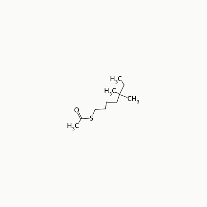 CCC(C)(C)CCCCSC(C)=O